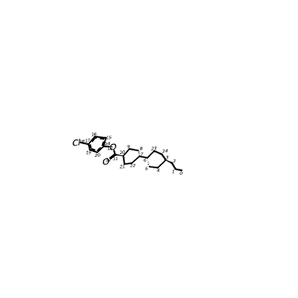 CCC[C@H]1CC[C@H]([C@H]2CC[C@H](C(=O)Oc3ccc(Cl)cc3)CC2)CC1